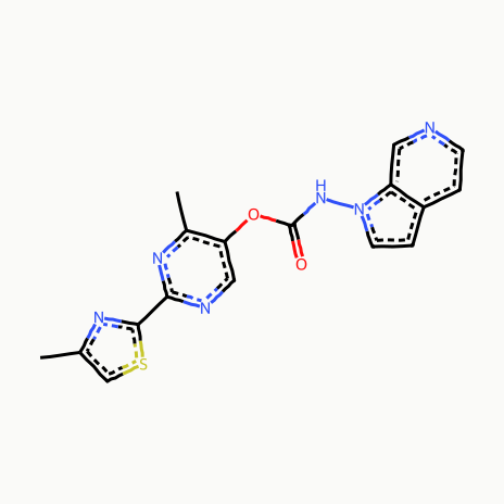 Cc1csc(-c2ncc(OC(=O)Nn3ccc4ccncc43)c(C)n2)n1